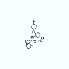 Cl.O=C(Nc1cc(Cl)ccc1OC1CCNCC1)c1cnn2cccnc12